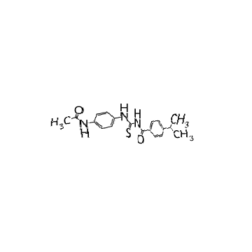 CC(=O)Nc1ccc(NC(=S)NC(=O)c2ccc(C(C)C)cc2)cc1